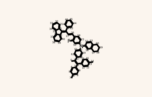 CC(=C(c1ccc(C)cc1)c1ccc(C)cc1)c1ccc(N(c2ccc(/C=C/C(=C3c4ccccc4-c4ccccc43)c3ccccc3)c(F)c2)c2ccc3c(c2)CCCC3)cc1